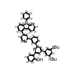 CC(C)(C)c1cc(-c2cc(-c3cccc(-c4cc(-c5cccc6c5c5cccnc5n6-c5ccccc5)ccn4)c3)nc(-c3ccccc3O)c2)cc(C(C)(C)C)c1